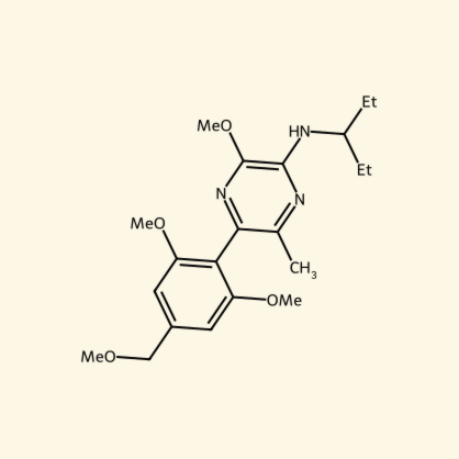 CCC(CC)Nc1nc(C)c(-c2c(OC)cc(COC)cc2OC)nc1OC